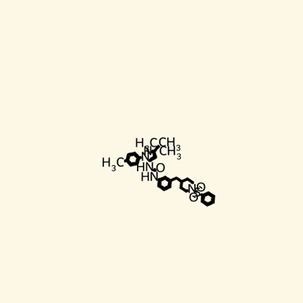 Cc1ccc(-n2nc(C(C)(C)C)cc2NC(=O)Nc2cccc(CC3CCN(S(=O)(=O)c4ccccc4)CC3)c2)cc1